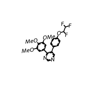 COc1cc(-c2ncncc2-c2ccc(OC(F)C(F)F)cc2)cc(OC)c1OC